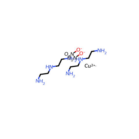 NCCNCCN.NCCNCCN.O=[N+]([O-])[O-].O=[N+]([O-])[O-].[Cu+2]